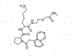 NCCCCC(NC(=O)[C@@H]1CCCN1C(=O)Cc1cccc2ccccc12)C(=O)NCCOCC(N)=O